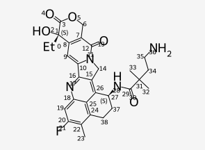 CC[C@@]1(O)C(=O)OCc2c1cc1n(c2=O)Cc2c-1nc1cc(F)c(C)c3c1c2[C@@H](NC(=O)C(C)(C)CCN)CC3